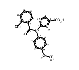 O=C(O)c1csc(N(C(=O)c2ccccc2Cl)c2ccc(OC(F)(F)F)cc2)n1